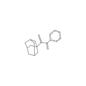 O=C(C(=O)C12CC3CC(CC(C3)C1)C2)c1ccccc1